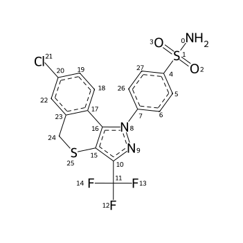 NS(=O)(=O)c1ccc(-n2nc(C(F)(F)F)c3c2-c2ccc(Cl)cc2CS3)cc1